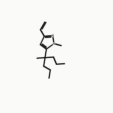 C=Cc1cc(C(C)(CCC)CCC)n(C)n1